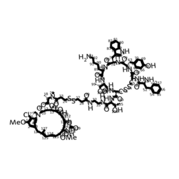 COc1cc2cc(c1Cl)N(C)C(=O)C[C@H](OC(=O)[C@H](C)N(C)C(=O)CCSSCCC(=O)NCCNC(=O)[C@@H](NC(=O)[C@@H]1CSSC[C@H](NC(=O)[C@H](N)Cc3ccccc3)C(=O)N[C@@H](Cc3ccc(O)cc3)C(=O)N[C@H](Cc3c[nH]c4ccccc34)C(=O)NC(CCCCN)C(=O)N[C@@H]([C@@H](C)O)C(=O)N1)[C@@H](C)O)[C@]1(C)O[C@H]1[C@H](C)[C@@H]1C[C@@](O)(NC(=O)O1)[C@H](OC)/C=C/C=C(\C)C2